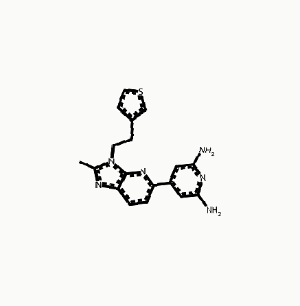 Cc1nc2ccc(-c3cc(N)nc(N)c3)nc2n1CCc1ccsc1